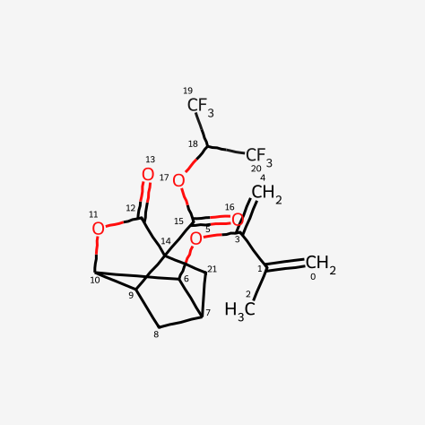 C=C(C)C(=C)OC1C2CC3C1OC(=O)C3(C(=O)OC(C(F)(F)F)C(F)(F)F)C2